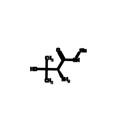 CC(C)(C)NC(=O)[C@@H](N)C(C)(C)O